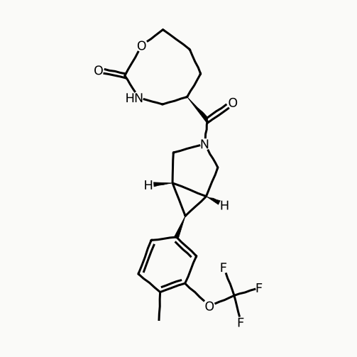 Cc1ccc([C@H]2[C@@H]3CN(C(=O)[C@@H]4CCCOC(=O)NC4)C[C@@H]32)cc1OC(F)(F)F